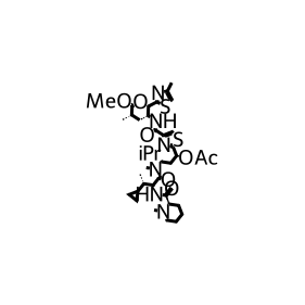 COC(=O)[C@@H](C)C[C@H](Cc1nc(C)cs1)NC(=O)c1csc([C@@H](C[C@H](C(C)C)N(C)C(=O)[C@@H](NC(=O)[C@H]2CCCCN2C)[C@@H](C)C2CC2)OC(C)=O)n1